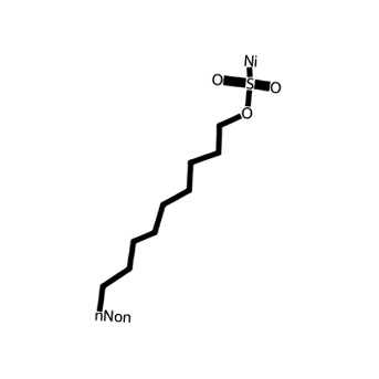 CCCCCCCCCCCCCCCCCCO[S](=O)(=O)[Ni]